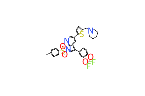 Cc1ccc(S(=O)(=O)n2cc(-c3ccc4c(c3)OC(F)(F)O4)c3cc(-c4ccc(CN5CCCCC5)s4)cnc32)cc1